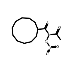 CC(=O)N(O[SH](=O)=O)C(=O)C1CCCCCCCCCC1